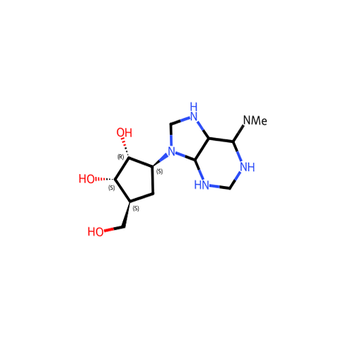 CNC1NCNC2C1NCN2[C@H]1C[C@@H](CO)[C@H](O)[C@@H]1O